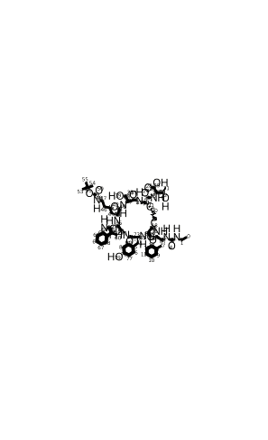 CCNC(=O)N[C@H](Cc1ccccc1)C(=O)N[C@H]1CSSC[C@@H](C(=O)N[C@H](C(=O)O)[C@@H](C)O)NC(=O)[C@H]([C@@H](C)O)NC(=O)[C@H](CCCCNC(=O)OC(C)(C)C)NC(=O)[C@@H](Cc2c[nH]c3ccccc23)NC(=O)[C@H](Cc2ccc(O)cc2)NC1=O